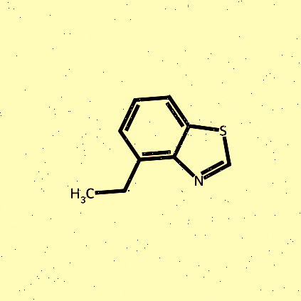 C[CH]c1cccc2scnc12